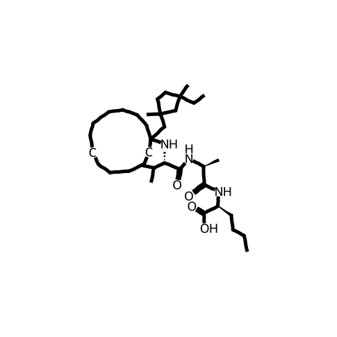 CCCC[C@H](NC(=O)[C@H](C)NC(=O)[C@@H](NC1(CC2(C)CCC(C)(CC)C2)CCCCCCCCCCCC1)C(C)C)C(=O)O